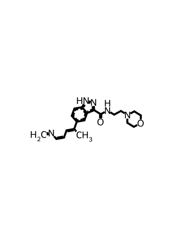 C=N/C=C\C=C(/C)c1ccc2[nH]nc(C(=O)NCCN3CCOCC3)c2c1